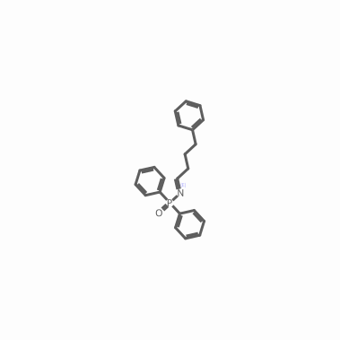 O=P(/N=C/CCCc1ccccc1)(c1ccccc1)c1ccccc1